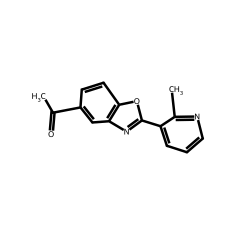 CC(=O)c1ccc2oc(-c3cccnc3C)nc2c1